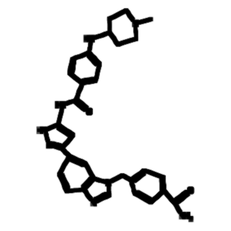 CN1CCC(Nc2ccc(C(=O)Nc3cc(-c4ccc5ncn(Cc6ccc(C(N)=O)cc6)c5c4)n[nH]3)cc2)CC1